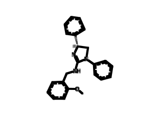 COc1ccccc1CNC1=N[C@H](c2ccccc2)CN1c1ccccc1